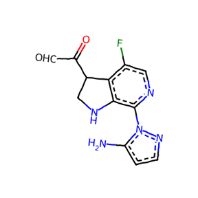 Nc1ccnn1-c1ncc(F)c2c1NCC2C(=O)C=O